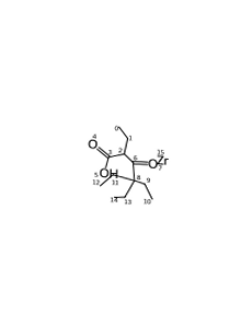 CCC(C(=O)O)C(=O)C(CC)(CC)CC.[Zr]